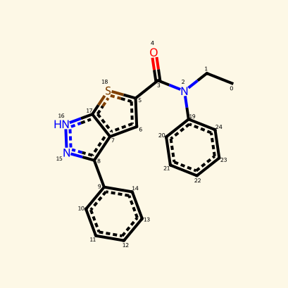 CCN(C(=O)c1cc2c(-c3ccccc3)n[nH]c2s1)c1ccccc1